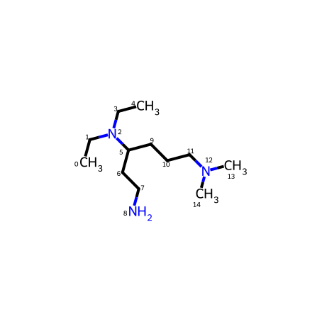 CCN(CC)C(CCN)CCCN(C)C